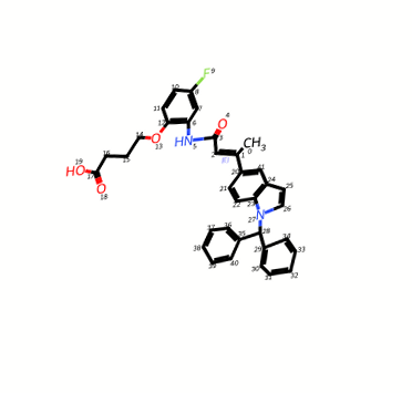 C/C(=C\C(=O)Nc1cc(F)ccc1OCCCC(=O)O)c1ccc2c(ccn2C(c2ccccc2)c2ccccc2)c1